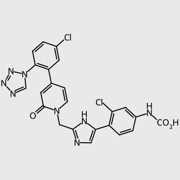 O=C(O)Nc1ccc(-c2cnc(Cn3ccc(-c4cc(Cl)ccc4-n4cnnn4)cc3=O)[nH]2)c(Cl)c1